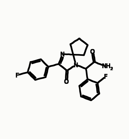 NC(=O)C(c1ccccc1F)N1C(=O)C(c2ccc(F)cc2)=NC12CCCC2